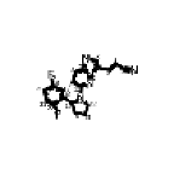 N#CC=Cc1cnc2ccc(N3CCCC3c3cc(F)ccc3F)nn12